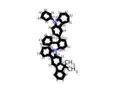 CC1(C)c2ccccc2-c2cc3c4ccccc4n(-c4cccc(-c5ccc6c(c5)c5ccccc5n6-c5ccccc5)c4-c4ccccc4)c3cc21